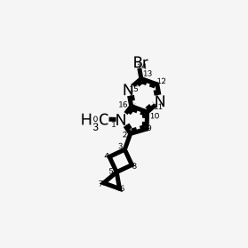 Cn1c(C2CC3(CC3)C2)cc2ncc(Br)nc21